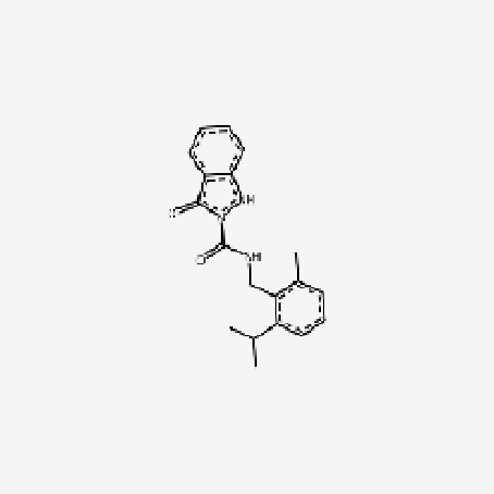 Cc1cccc(C(C)C)c1CNC(=O)n1[nH]c2ccccc2c1=O